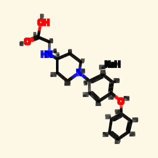 O=C(O)CNC1CCN(c2ccc(Oc3ccccc3)cc2)CC1.[NaH]